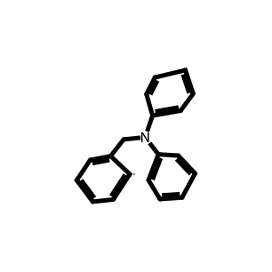 [c]1ccccc1CN(c1ccccc1)c1ccccc1